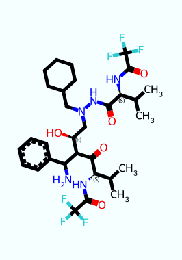 CC(C)[C@H](NC(=O)C(F)(F)F)C(=O)NN(CC1CCCCC1)C[C@H](O)C(C(=O)[C@@H](NC(=O)C(F)(F)F)C(C)C)C(N)c1ccccc1